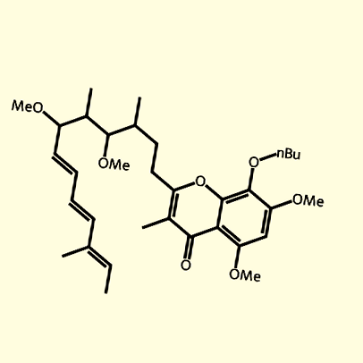 C/C=C(C)/C=C/C=C/C(OC)C(C)C(OC)C(C)CCc1oc2c(OCCCC)c(OC)cc(OC)c2c(=O)c1C